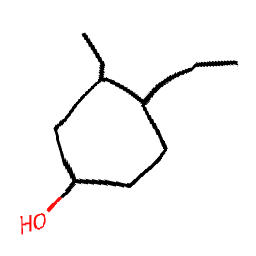 CCC1CCC(O)CC1C